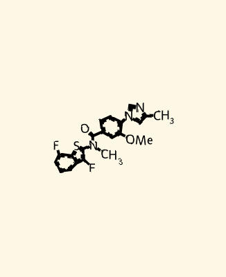 COc1cc(C(=O)N(C)c2sc3c(F)cccc3c2F)ccc1-n1cnc(C)c1